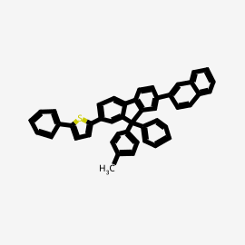 Cc1ccc(C2(c3ccccc3)c3cc(-c4ccc5ccccc5c4)ccc3-c3ccc(-c4ccc(-c5ccccc5)s4)cc32)cc1